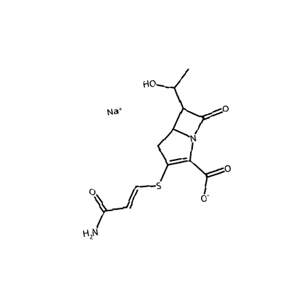 CC(O)C1C(=O)N2C(C(=O)[O-])=C(S/C=C/C(N)=O)CC12.[Na+]